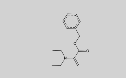 C=C(C(=O)OCc1ccccc1)N(CC)CC